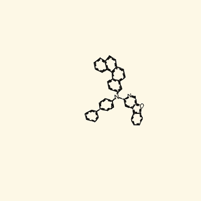 c1ccc(-c2ccc(N(c3ccc4c(ccc5ccc6ccccc6c54)c3)c3cc4c(cn3)oc3ccccc34)cc2)cc1